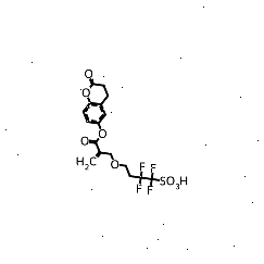 C=C(COCCC(F)(F)C(F)(F)S(=O)(=O)O)C(=O)Oc1ccc2c(c1)CCC(=O)O2